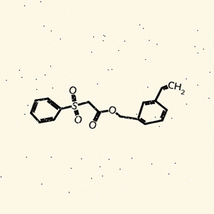 C=Cc1cccc(COC(=O)CS(=O)(=O)c2ccccc2)c1